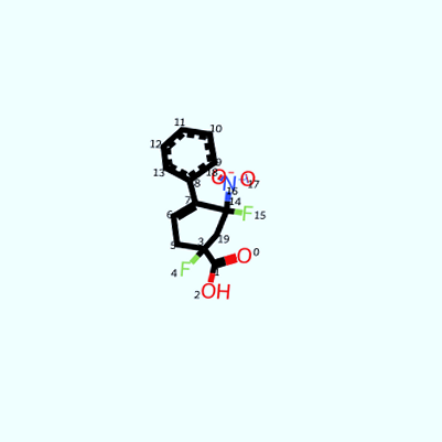 O=C(O)C1(F)CC=C(c2ccccc2)C(F)([N+](=O)[O-])C1